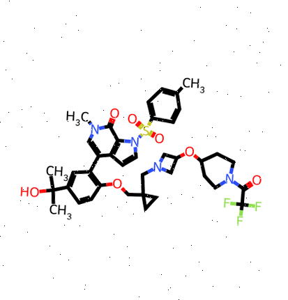 Cc1ccc(S(=O)(=O)n2ccc3c(-c4cc(C(C)(C)O)ccc4OCC4(CN5CC(OC6CCN(C(=O)C(F)(F)F)CC6)C5)CC4)cn(C)c(=O)c32)cc1